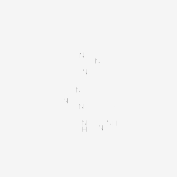 c1cnc(N2CCN(c3nc4c(c(Nc5cc(C6CC6)[nH]n5)n3)CCC4)CC2)nc1